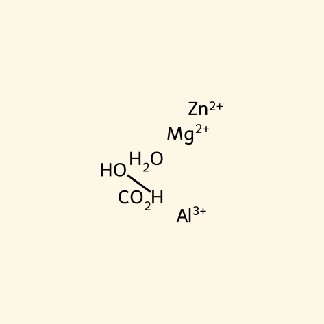 O.O=C(O)O.[Al+3].[Mg+2].[Zn+2]